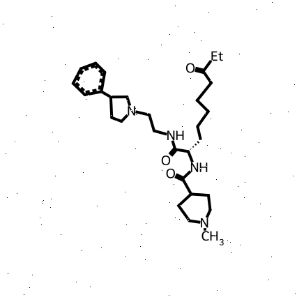 CCC(=O)CCCCC[C@H](NC(=O)C1CCN(C)CC1)C(=O)NCCN1CCC(c2ccccc2)C1